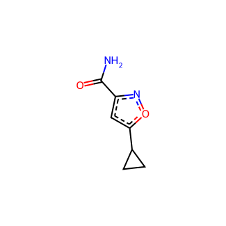 NC(=O)c1cc(C2CC2)on1